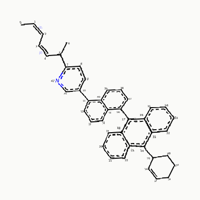 C/C=C\C=C/C(C)c1ccc(-c2cccc3c(-c4c5ccccc5c(C5C=CCCC5)c5ccccc45)cccc23)cn1